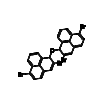 BrC1=Cc2ccc(Br)c3cccc(c23)C1OC1C(Br)=Cc2ccc(Br)c3cccc1c23